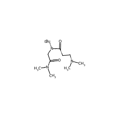 CN(C)CCC(=O)N(CC(=O)N(C)C)C(C)(C)C